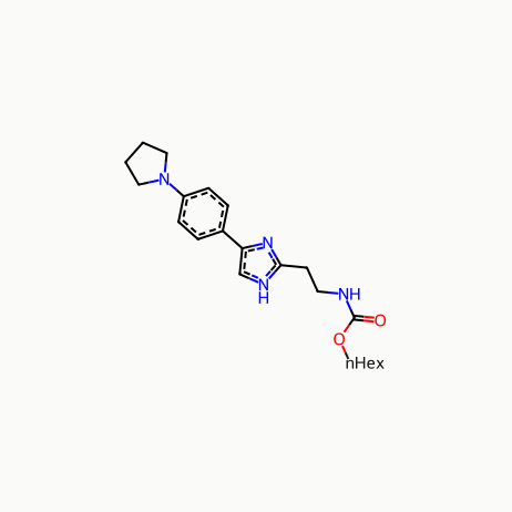 CCCCCCOC(=O)NCCc1nc(-c2ccc(N3CCCC3)cc2)c[nH]1